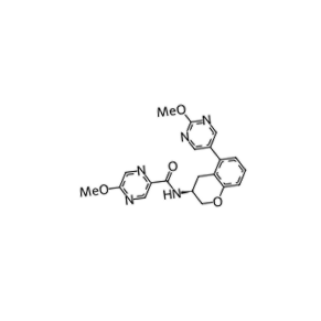 COc1cnc(C(=O)N[C@@H]2COc3cccc(-c4cnc(OC)nc4)c3C2)cn1